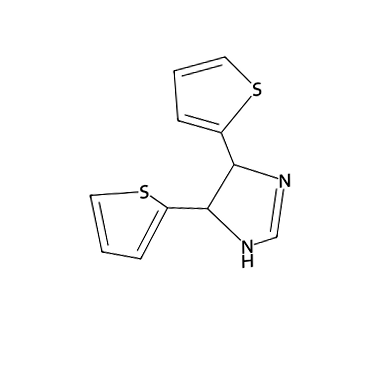 C1=NC(c2cccs2)C(c2cccs2)N1